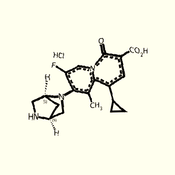 Cc1c(N2C[C@@H]3C[C@H]2CN3)c(F)cn2c(=O)c(C(=O)O)cc(C3CC3)c12.Cl